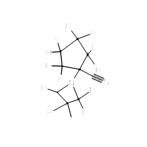 [2H]C1N(C2(C#N)C([2H])([2H])C([2H])([2H])C([2H])([2H])C2([2H])[2H])C([2H])([2H])C1([2H])[2H]